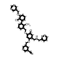 Cc1c(COc2cc(OCc3cncc(C#N)c3)c(CNCc3cccnn3)cc2Cl)cccc1-c1cccc(OCc2cncnc2)c1Cl